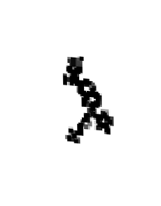 Cc1nnc(N(COCC[Si](C)(C)C)c2ccc3ncc(Nc4cnn(C)c4)cc3n2)s1